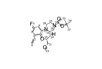 C#Cc1cc(F)cc2c1O[C@H](COC)C[C@@H]1CN(C(=O)OC(C)(C)C)CCN21